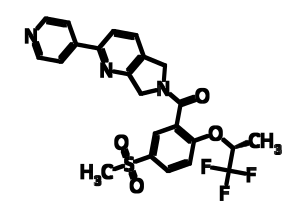 C[C@H](Oc1ccc(S(C)(=O)=O)cc1C(=O)N1Cc2ccc(-c3ccncc3)nc2C1)C(F)(F)F